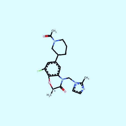 CC(=O)N1CCCC(c2cc(F)c3c(c2)N(Cn2ccnc2C)C(=O)[C@@H](C)O3)C1